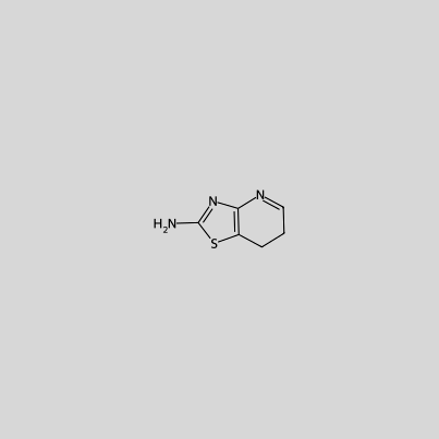 Nc1nc2c(s1)CCC=N2